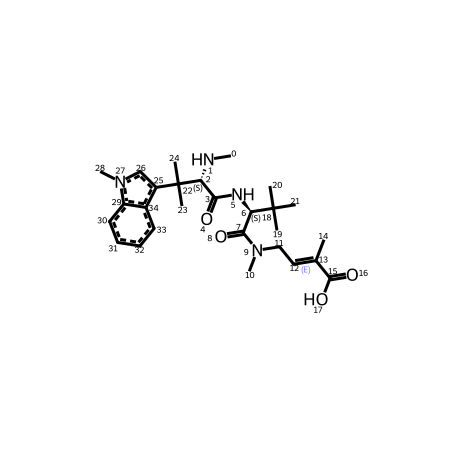 CN[C@H](C(=O)N[C@H](C(=O)N(C)C/C=C(\C)C(=O)O)C(C)(C)C)C(C)(C)c1cn(C)c2ccccc12